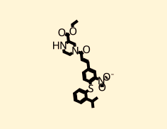 CCOC(=O)C1CN(C(=O)C=Cc2ccc(Sc3ccccc3C(C)C)c([N+](=O)[O-])c2)CCN1